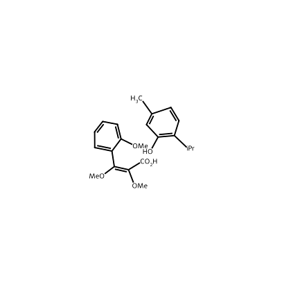 COC(C(=O)O)=C(OC)c1ccccc1OC.Cc1ccc(C(C)C)c(O)c1